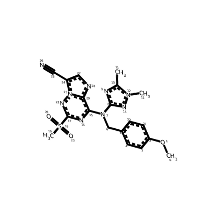 COc1ccc(CN(c2nc(C)n(C)n2)c2nc(S(C)(=O)=O)nn3c(C#N)cnc23)cc1